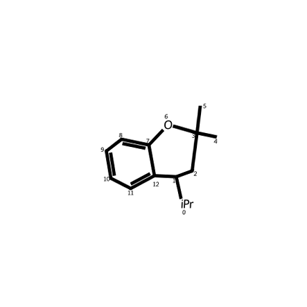 CC(C)C1CC(C)(C)Oc2ccccc21